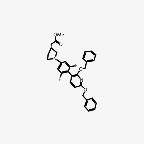 COC(=O)C[C@@H]1CCN(c2cc(F)c(-c3ccc(OCc4ccccc4)nc3OCc3ccccc3)c(F)c2)C1